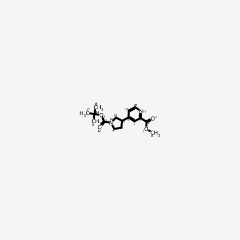 COC(=O)c1cc(C2CCN(C(=O)OC(C)(C)C)C2)ccn1